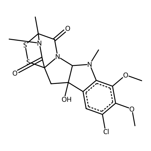 COc1c(Cl)cc2c(c1OC)N(C)C1N3C(=O)C4(C)SSC3(CC21O)C(=O)N4C